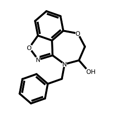 OC1COc2cccc3onc(c23)N1Cc1ccccc1